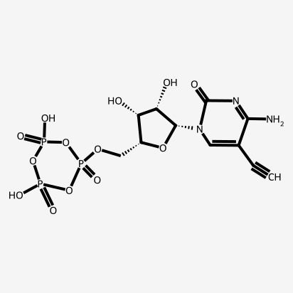 C#Cc1cn([C@@H]2O[C@H](COP3(=O)OP(=O)(O)OP(=O)(O)O3)[C@H](O)[C@@H]2O)c(=O)nc1N